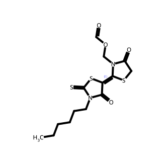 CCCCCCN1C(=O)/C(=C2\SCC(=O)N2COC=O)SC1=S